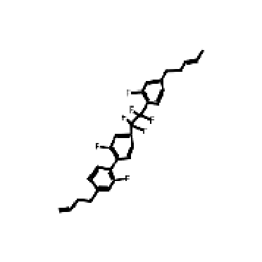 C=CCCc1ccc(-c2ccc(C(F)(F)C(F)(F)c3ccc(CC/C=C/C)cc3F)cc2F)c(F)c1